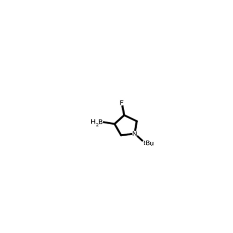 BC1CN(C(C)(C)C)CC1F